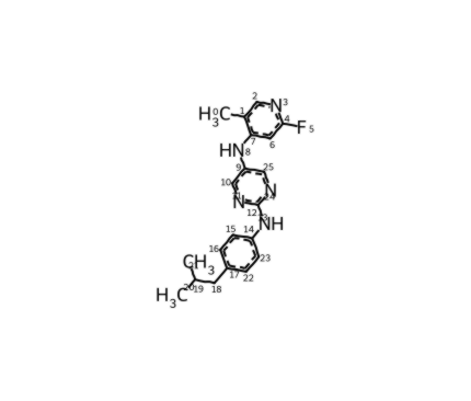 Cc1cnc(F)cc1Nc1cnc(Nc2ccc(CC(C)C)cc2)nc1